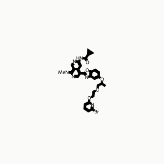 CNc1ncc(-c2nc3cc(OC(C)COCCOc4cccc(Br)n4)ccc3o2)c2cc(NC(=O)C3CC3)ncc12